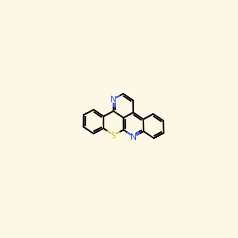 c1ccc2c(c1)Sc1nc3ccccc3c3ccnc-2c13